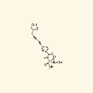 CNC(=O)C(C(=O)NO)N(C)C(=O)c1ccc(C#CC#CCC(CO)OC)cc1